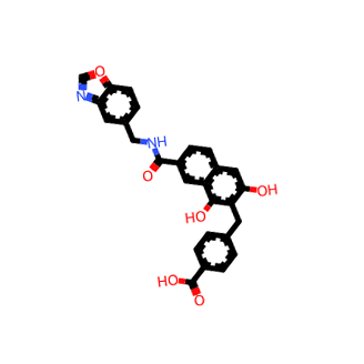 O=C(O)c1ccc(Cc2c(O)cc3ccc(C(=O)NCc4ccc5ocnc5c4)cc3c2O)cc1